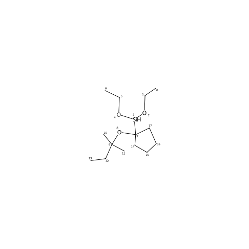 CCO[SiH](OCC)C1(OC(C)(C)CC)CCCC1